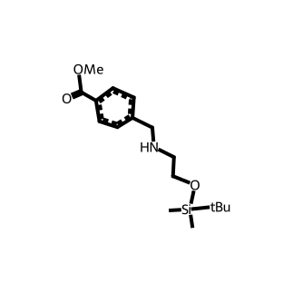 COC(=O)c1ccc(CNCCO[Si](C)(C)C(C)(C)C)cc1